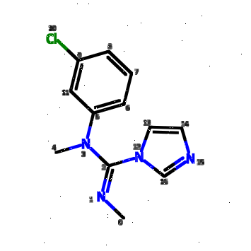 CN=C(N(C)c1cccc(Cl)c1)n1ccnc1